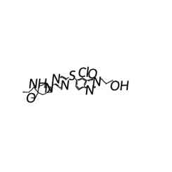 C[C@@H]1OCC2(CCN(c3cnc(Sc4ccc5ncn(CCCO)c(=O)c5c4Cl)cn3)CC2)[C@@H]1N